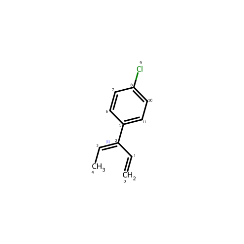 C=C/C(=C\C)c1ccc(Cl)cc1